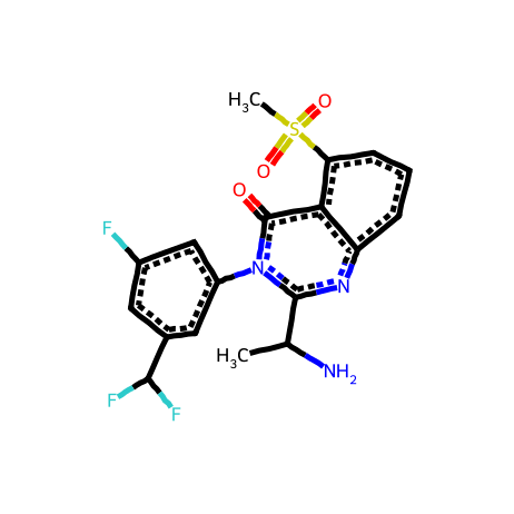 CC(N)c1nc2cccc(S(C)(=O)=O)c2c(=O)n1-c1cc(F)cc(C(F)F)c1